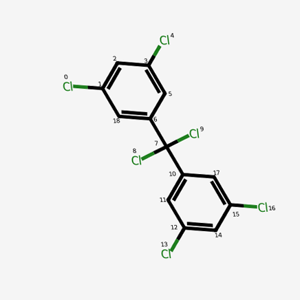 Clc1cc(Cl)cc(C(Cl)(Cl)c2cc(Cl)cc(Cl)c2)c1